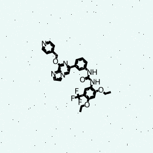 CCOc1cc(OCC)c(C(F)(F)F)cc1NC(=O)Nc1cccc(-c2cn3ccnc3c(OCc3ccncc3)n2)c1